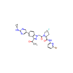 CC(=O)c1nn(CC(=O)N2C[C@H](F)C[C@H]2C(=O)Nc2cccc(Br)n2)c2ccc(-c3cnc(NC4CC4)nc3)cc12